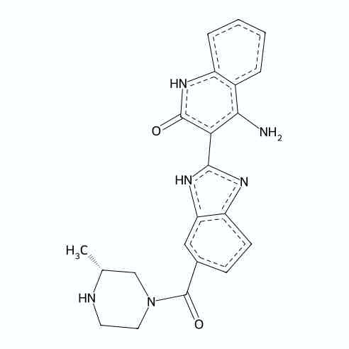 C[C@@H]1CN(C(=O)c2ccc3nc(-c4c(N)c5ccccc5[nH]c4=O)[nH]c3c2)CCN1